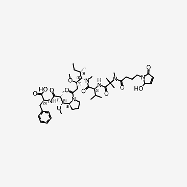 CC[C@H](C)[C@@H]([C@@H](CC(=O)N1CCC[C@H]1[C@H](OC)[C@@H](C)C(=O)N[C@@H](Cc1ccccc1)C(=O)O)OC)N(C)C(=O)[C@@H](NC(=O)C(C)(C)N(C)C(=O)CCCN1C(=O)C=CC1O)C(C)C